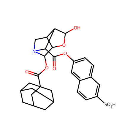 O=C(Oc1ccc2cc(S(=O)(=O)O)ccc2c1)C1C2C(O)OC3C2CN1C3OC(=O)C12CC3CC(CC(C3)C1)C2